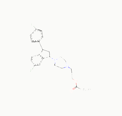 CCCCCCCCCC(=O)OCCN1CCN(C2CC(c3ccc(F)cc3)c3ccc(F)cc32)CC1